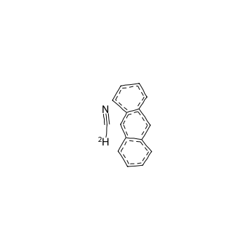 [2H]C#N.c1ccc2cc3ccccc3cc2c1